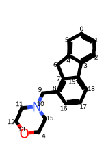 c1ccc2c(c1)Cc1c(CN3CCOCC3)cccc1-2